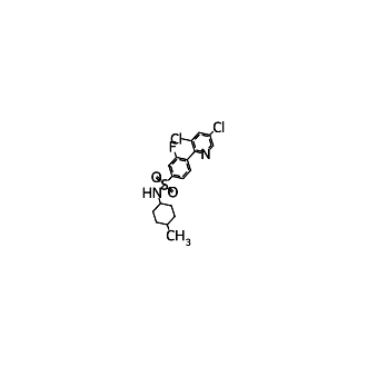 CC1CCC(NS(=O)(=O)c2ccc(-c3ncc(Cl)cc3Cl)c(F)c2)CC1